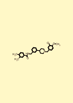 COc1ccc(CN2CCC(c3cccc(CNC(=O)c4ccc(C)c(C)c4)c3)CC2)cc1Cl